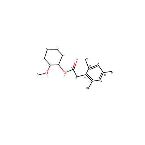 COC1CCCCC1OC(=O)Cc1c(C)cc(C)cc1C